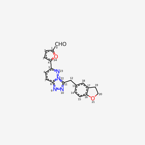 O=Cc1ccc(-c2ccc3nnc(Cc4ccc5c(c4)CCO5)n3n2)o1